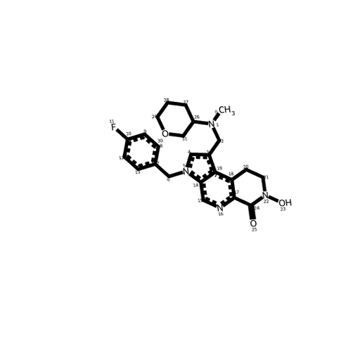 CN(Cc1cn(Cc2ccc(F)cc2)c2cnc3c(c12)CCN(O)C3=O)C1CCCOC1